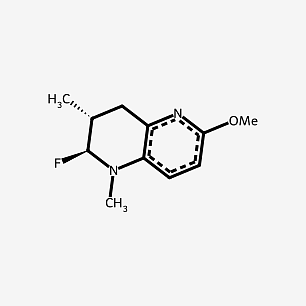 COc1ccc2c(n1)C[C@@H](C)[C@H](F)N2C